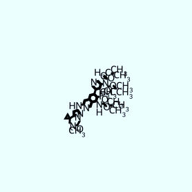 Cc1c(-c2cc3cc(Nc4cc5n(n4)CC(=O)N(C)CC54CC4)ncc3c(NC(=O)OC(C)(C)C)c2F)cncc1N(C(=O)OC(C)(C)C)C(=O)OC(C)(C)C